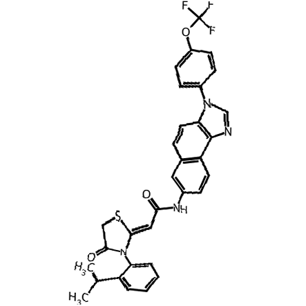 CC(C)c1ccccc1N1C(=O)CS/C1=C\C(=O)Nc1ccc2c(ccc3c2ncn3-c2ccc(OC(F)(F)F)cc2)c1